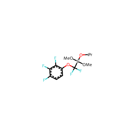 CO[Si](OC)(OC(C)C)C(F)(F)Oc1ccc(F)c(F)c1F